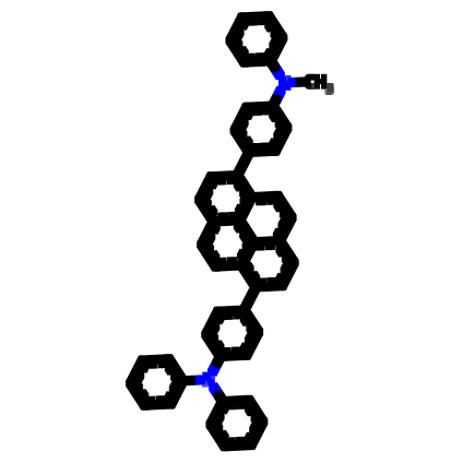 CN(c1ccccc1)c1ccc(-c2ccc3ccc4c(-c5ccc(N(c6ccccc6)c6ccccc6)cc5)ccc5ccc2c3c54)cc1